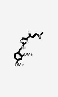 COc1ccc(CNc2ncc(C(=O)C=CN(C)C)s2)c(OC)c1